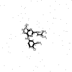 CCn1nnc2c(Nc3ccc(Cl)c(N)c3)nc(NCC(C)N)nc21